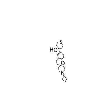 OC1(c2ccc3c(c2)CCC2(CCN(C4CCC4)CC2)O3)CCSCC1